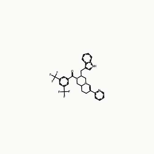 O=C(c1cc(C(F)(F)F)cc(C(F)(F)F)c1)N1CC2CCC(c3ccccn3)=CN2CC1Cc1c[nH]c2ccccc12